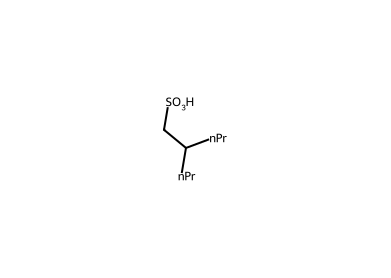 CCCC(CCC)CS(=O)(=O)O